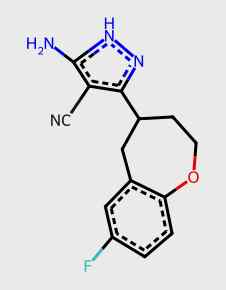 N#Cc1c(C2CCOc3ccc(F)cc3C2)n[nH]c1N